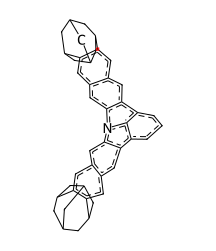 c1cc2c3cc4cc5c(cc4cc3n3c4cc6cc7c(cc6cc4c(c1)c23)C1CC2CC(C1)CC7C2)C1CC2CC(CC5C2)C1